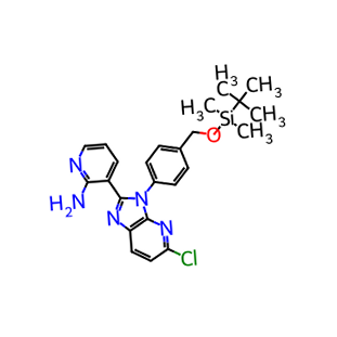 CC(C)(C)[Si](C)(C)OCc1ccc(-n2c(-c3cccnc3N)nc3ccc(Cl)nc32)cc1